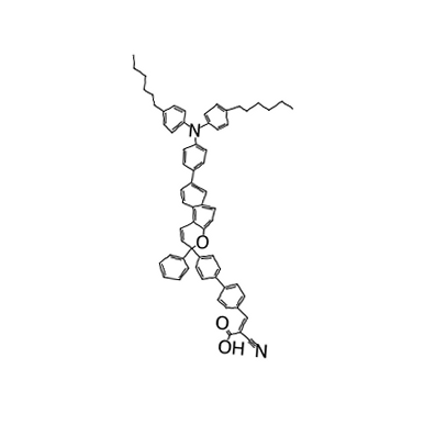 CCCCCCc1ccc(N(c2ccc(CCCCCC)cc2)c2ccc(-c3ccc4c5c(ccc4c3)OC(c3ccccc3)(c3ccc(-c4ccc(/C=C(/C#N)C(=O)O)cc4)cc3)C=C5)cc2)cc1